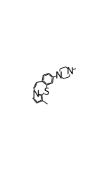 Cc1ccn2c1Sc1cc(N3CCN(C)CC3)ccc1C=C2